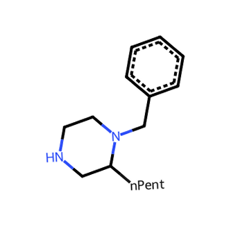 CCCCCC1CNCCN1Cc1ccccc1